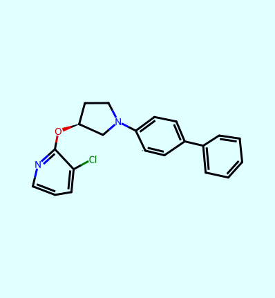 Clc1cccnc1O[C@H]1CCN(c2[c]cc(-c3ccccc3)cc2)C1